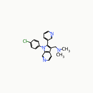 CN(C)Cc1c(-c2cccnc2)n(-c2ccc(Cl)cc2)c2cnccc12